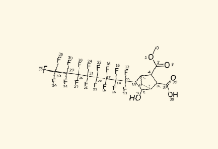 COC(=O)C1C2CC(C(O)C2C(F)(F)C(F)(F)C(F)(F)C(F)(F)C(F)(F)C(F)(F)C(F)(F)C(F)(F)F)C1C(=O)O